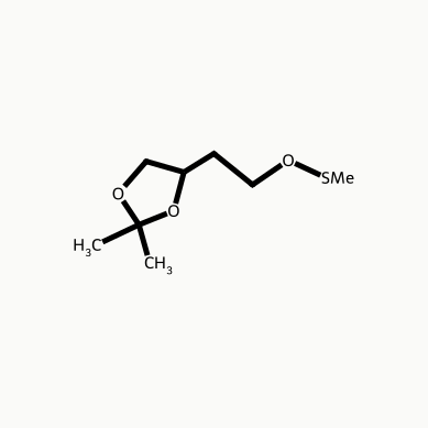 CSOCCC1COC(C)(C)O1